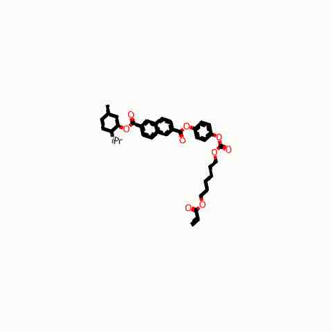 C=CC(=O)OCCCCCCOC(=O)Oc1ccc(OC(=O)c2ccc3cc(C(=O)OC4CC(C)CCC4C(C)C)ccc3c2)cc1